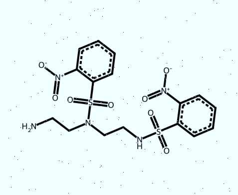 NCCN(CCNS(=O)(=O)c1ccccc1[N+](=O)[O-])S(=O)(=O)c1ccccc1[N+](=O)[O-]